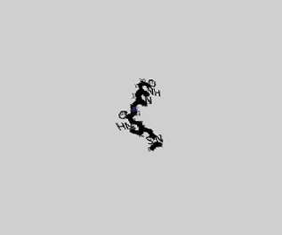 Cc1cnc(CC2=CC(C(=O)/C=C/c3cnc4c(c3)CCC(=O)N4)NCC2)s1